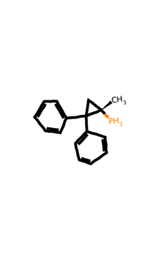 C[C@]1(P)CC1(c1ccccc1)c1ccccc1